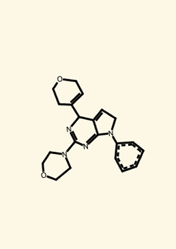 C1=C(C2N=C(N3CCOCC3)N=C3C2=CCN3c2ccccc2)CCOC1